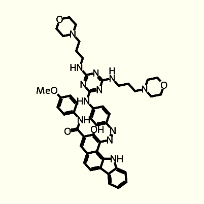 COc1ccc(NC(=O)c2cc3ccc4c5ccccc5[nH]c4c3c(/N=N\c3ccc(Nc4nc(NCCCN5CCOCC5)nc(NCCCN5CCOCC5)n4)cc3)c2O)cc1